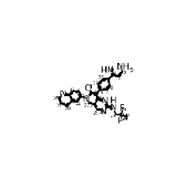 N=C(/C=C\N)c1ccc(-c2c(=O)n(-c3ccc4ncccc4c3)cc3cnc(NCC(F)(F)F)nc23)cc1